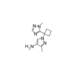 Cc1nn(C2(c3ncnn3C)CCC2)cc1N